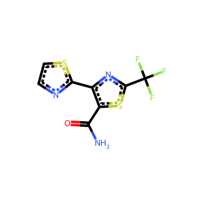 NC(=O)c1sc(C(F)(F)F)nc1-c1nccs1